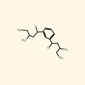 [Li][CH](CC(C)CC)c1cccc([CH]([Li])CC(C)CC)c1